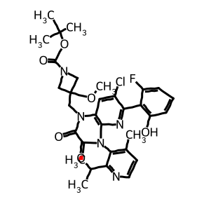 COC1(Cn2c(=O)c(=O)n(-c3c(C)ccnc3C(C)C)c3nc(-c4c(O)cccc4F)c(Cl)cc32)CN(C(=O)OC(C)(C)C)C1